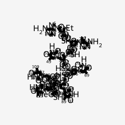 CC[C@H]1O[C@@H](n2cnc3c(N)ncnc32)C[C@H]1OP(=O)(S)OC[C@H]1O[C@@H](n2cnc3c(N)ncnc32)C[C@H]1OP(=O)(S)OC[C@H]1O[C@@H](n2cc(C)c(=O)[nH]c2=O)C[C@H]1OP(=O)(S)OC[C@H]1O[C@@H](n2cc(C)c(=O)[nH]c2=O)C[C@H]1OP(=O)(S)OC[C@H]1O[C@@H](n2cc(C)c(=O)[nH]c2=O)C[C@H]1OP(=O)(S)OC[C@H]1O[C@@H](n2cc(C)c(=O)[nH]c2=O)C[C@H]1OP(=O)(S)OC[C@H]1O[C@@H](n2cc(C)c(=O)[nH]c2=O)C[C@H]1OP(=O)(S)OC